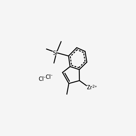 CC1=Cc2c(cccc2[Si](C)(C)C)[CH]1[Zr+2].[Cl-].[Cl-]